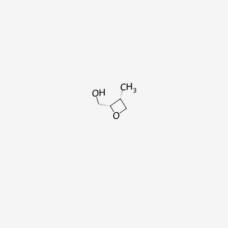 C[C@@H]1CO[C@@H]1CO